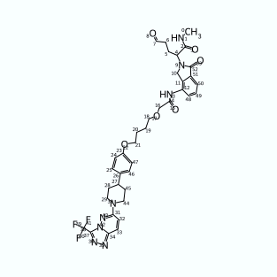 CNC(=O)C(CCC=O)N1Cc2c(NC(=O)COCCCCOc3ccc(C4CCN(c5ccc6nnc(C(F)(F)F)n6n5)CC4)cc3)cccc2C1=O